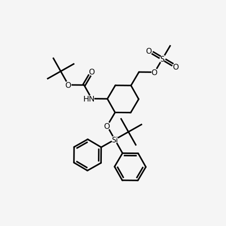 CC(C)(C)OC(=O)NC1CC(COS(C)(=O)=O)CCC1O[Si](c1ccccc1)(c1ccccc1)C(C)(C)C